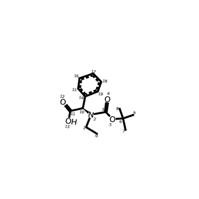 CCN(C(=O)OC(C)(C)C)[C@@H](C(=O)O)c1ccccc1